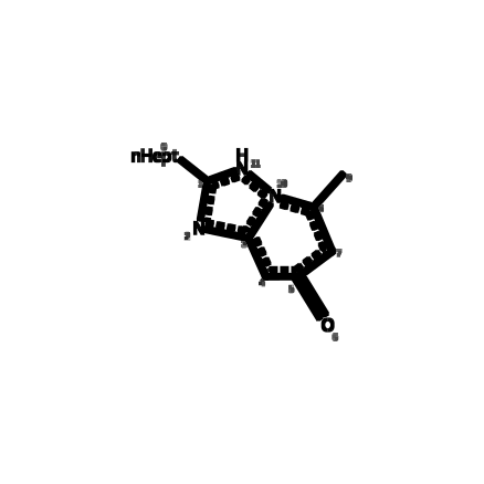 CCCCCCCc1nc2cc(=O)cc(C)n2[nH]1